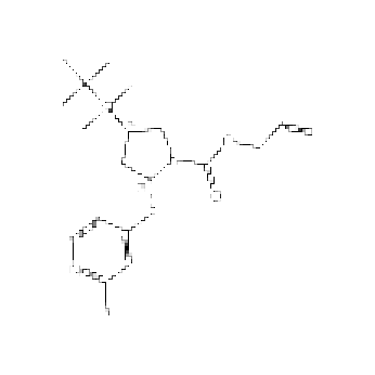 C=CCOC(=O)N1C[C@H]([Si](C)(C)C(C)(C)C)C[C@H]1Cc1ccnc(C)c1